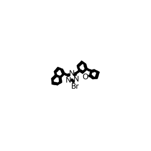 Brc1nc(-c2cccc3ccccc23)nc(-c2cccc3c2oc2ccccc23)n1